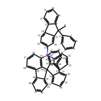 CC1(c2ccccc2)c2ccccc2-c2ccc(N(c3ccccc3)c3cccc4c3C3(c5ccccc5-c5ccccc53)c3ccccc3-4)cc21